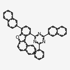 c1ccc(-c2nc(-c3ccc4ccccc4c3)nc(-c3ccc(-c4ccc5ccccc5c4)c4oc5ccc6ccccc6c5c34)n2)cc1